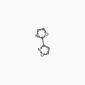 [c]1cnc(-c2ccon2)o1